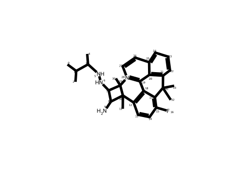 CC(C)C(C)NNC1C(N)C2(C)c3ccc(F)c4c3-c3c5c(cccc5cc[n+]3C12C)C4(C)C